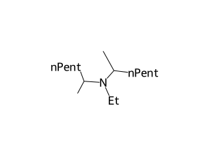 CCCCCC(C)N(CC)C(C)CCCCC